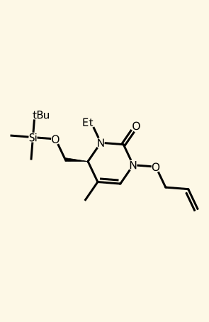 C=CCON1C=C(C)[C@@H](CO[Si](C)(C)C(C)(C)C)N(CC)C1=O